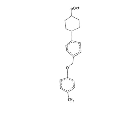 CCCCCCCCC1CCC(c2ccc(COc3ccc(C(F)(F)F)cc3)cc2)CC1